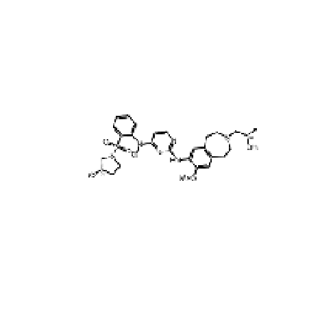 COc1cc2c(cc1Nc1nccc(N(Cl)c3ccccc3S(=O)(=O)N3CC[C@@H](O)C3)n1)CCN(C[C@@H](C)O)CC2